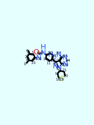 Cc1cc(C)c2oc(Nc3ccc(-c4nn(C5CCSCC5)c5ncnc(N)c45)cc3)nc2c1